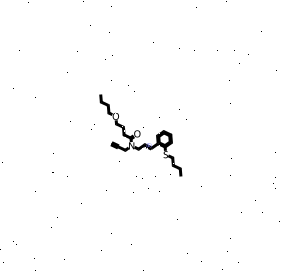 C#CCN(C/C=C/c1ccccc1SCCCC)C(=O)CCCOCCCC